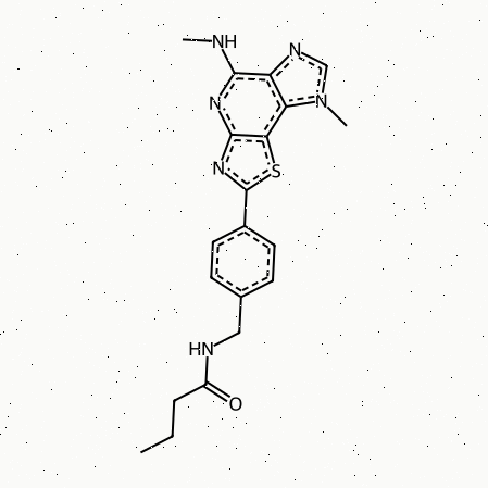 CCCC(=O)NCc1ccc(-c2nc3nc(NC)c4ncn(C)c4c3s2)cc1